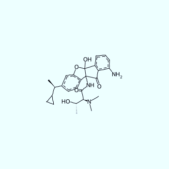 C[C@H](O)[C@@H](C(=O)NC12C(=O)c3c(N)cccc3C1(O)Oc1cc([C@H](C)C3CC3)ccc12)N(C)C